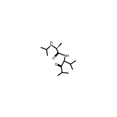 CC(C)N[C@@H](C)C(=O)NC(C(=O)C(C)C)C(C)C